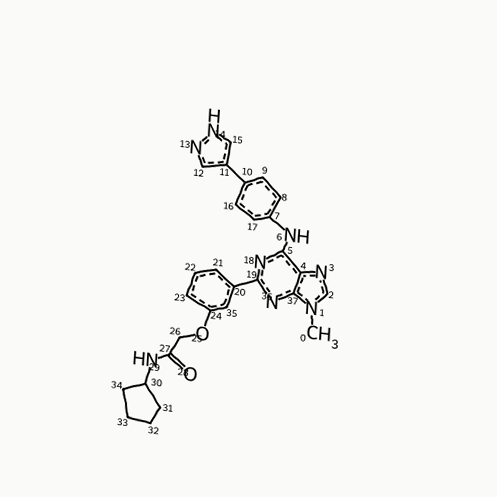 Cn1cnc2c(Nc3ccc(-c4cn[nH]c4)cc3)nc(-c3cccc(OCC(=O)NC4CCCC4)c3)nc21